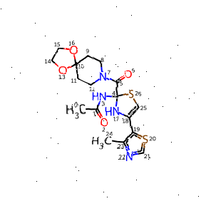 CC(=O)NC1(C(=O)N2CCC3(CC2)OCCO3)NC(c2scnc2C)=CS1